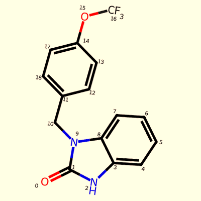 O=c1[nH]c2ccccc2n1Cc1ccc(OC(F)(F)F)cc1